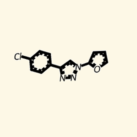 Clc1ccc(-c2cn(-c3ccco3)nn2)cc1